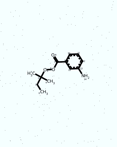 CCC(C)(C)OOC(=O)c1cccc(N)c1